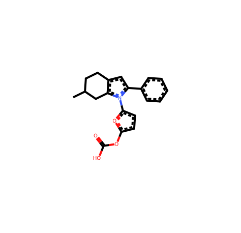 CC1CCc2cc(-c3ccccc3)n(-c3ccc(OC(=O)O)o3)c2C1